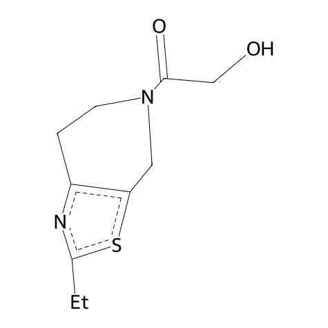 CCc1nc2c(s1)CN(C(=O)CO)CC2